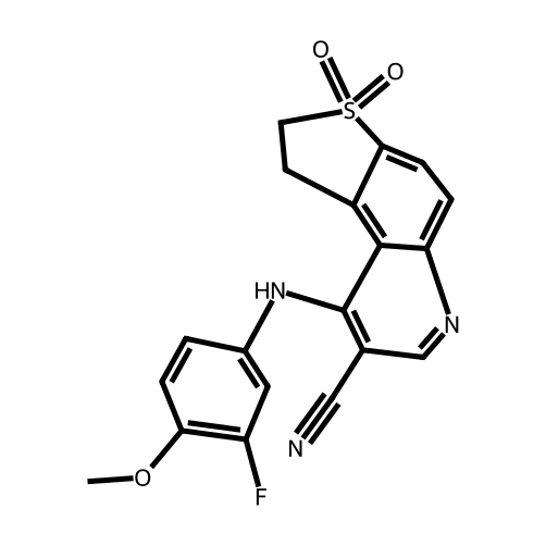 COc1ccc(Nc2c(C#N)cnc3ccc4c(c23)CCS4(=O)=O)cc1F